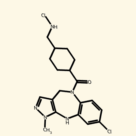 Cn1ncc2c1Nc1cc(Cl)ccc1N(C(=O)C1CCC(CNCl)CC1)C2